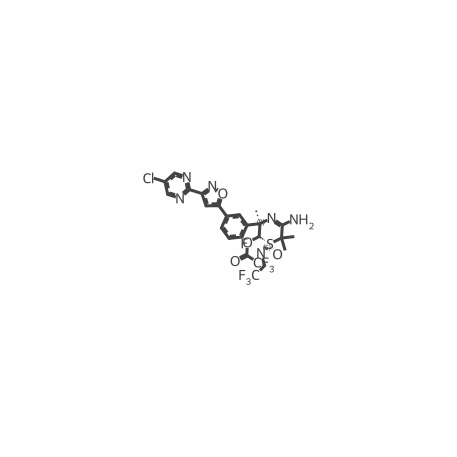 CC1(C)C(N)=N[C@](C)(c2cc(-c3cc(-c4ncc(Cl)cn4)no3)ccc2F)C(OC(=O)C(F)(F)F)[S@]1(=O)=NCC(F)(F)F